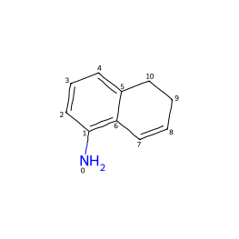 Nc1cccc2c1C=CCC2